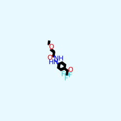 CCO/C=C/C(=O)NNc1ccc(C(=O)C(F)(F)F)cc1